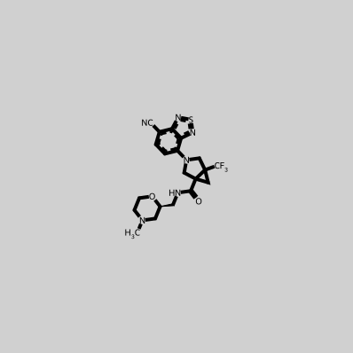 CN1CCO[C@@H](CNC(=O)C23CN(c4ccc(C#N)c5nsnc45)CC2(C(F)(F)F)C3)C1